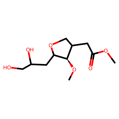 COC(=O)CC1COC(CC(O)CO)[C@@H]1OC